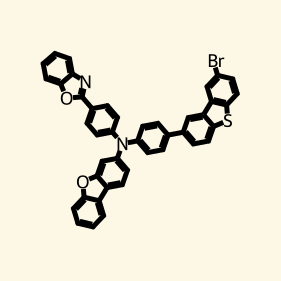 Brc1ccc2sc3ccc(-c4ccc(N(c5ccc(-c6nc7ccccc7o6)cc5)c5ccc6c(c5)oc5ccccc56)cc4)cc3c2c1